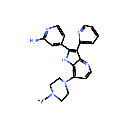 CN1CCN(c2ccnc3c(-c4ccccn4)c(-c4ccnc(N)c4)[nH]c23)CC1